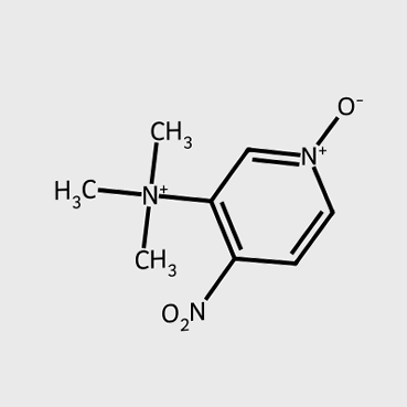 C[N+](C)(C)c1c[n+]([O-])ccc1[N+](=O)[O-]